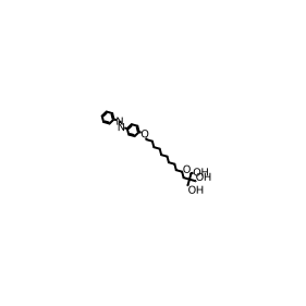 O=C(O)C(CO)(CO)CCCCCCCCCCCOc1ccc(N=Nc2ccccc2)cc1